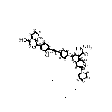 NNC(=O)c1cc(-c2ccc(C#Cc3ccc(C(=O)N4CCCC[C@H]4C(=O)O)cc3Cl)cc2)nc2cc(N3CCOCC3)ncc12